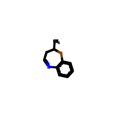 CC1CC=Nc2ccccc2S1